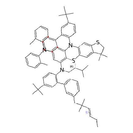 CC/C=C/C(C)(C)Cc1cccc(-c2cc(C(C)(C)C)ccc2N(C[C@H](C)C(C)C)c2cc(N(c3ccccc3C)c3ccccc3C)cc3c2Sc2cc4c(cc2N3c2ccc(C(C)(C)C)cc2-c2ccccc2)SCC4(C)C)c1